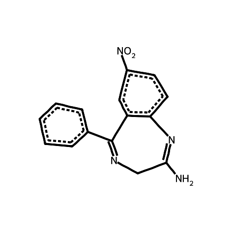 NC1=Nc2ccc([N+](=O)[O-])cc2C(c2ccccc2)=NC1